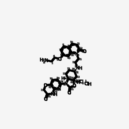 Cl.Cl.NCCOc1ccc2ccc(=O)n(CCN[C@H]3CC[C@H]4[C@H](C3)OC(=O)N4c3ccc4c(n3)NC(=O)CO4)c2c1